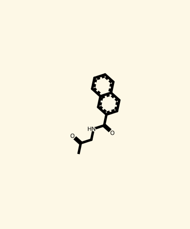 CC(=O)CNC(=O)c1ccc2ccccc2c1